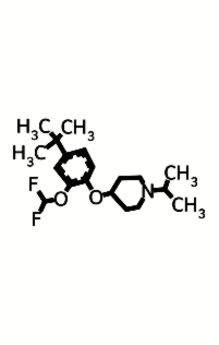 CC(C)N1CCC(Oc2ccc(C(C)(C)C)cc2OC(F)F)CC1